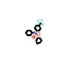 O=S(=O)(c1ccccc1)N(c1ccccc1)c1ccc(C(F)(F)F)cc1